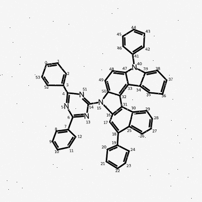 c1ccc(-c2nc(-c3ccccc3)nc(-n3c4cc(-c5ccccc5)c5ccccc5c4c4c5c6ccccc6n(-c6ccccc6)c5ccc43)n2)cc1